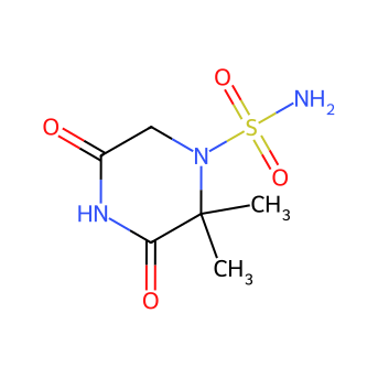 CC1(C)C(=O)NC(=O)CN1S(N)(=O)=O